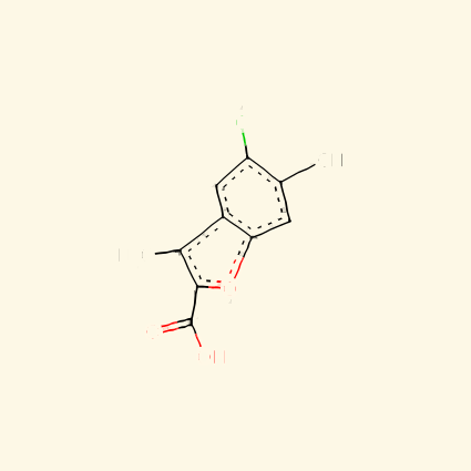 Cc1cc2oc(C(=O)O)c(C)c2cc1Cl